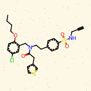 C#CCNS(=O)(=O)c1ccc(CCN(Cc2cc(Cl)ccc2OCCCC)C(=O)Cc2ccsc2)cc1